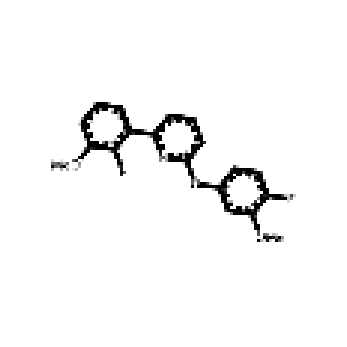 COc1cc(Oc2cccc(-c3cccc(OC)c3F)n2)ccc1F